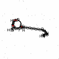 CO[C@H]1C[C@@H]2CC[C@@H](C)[C@@](O)(O2)C(=O)COCN2CCCC[C@H]2C(=O)O[C@H]([C@H](N)C[C@@H]2CC[C@@H](O)[C@H](OC)C2)C[C@@H](O)[C@H](C)/C=C(\C)[C@@H](O)[C@@H](O)/C(=N/OCC(=O)NCCOCCOCCOCCOCCOCCOCCOCCOCCC(=O)N2CCc3cc(Cn4nc(-c5cnc6[nH]ccc6c5)c5c(N)ncnc54)ccc3C2)[C@H](C)C[C@H](C)/C=C/C=C/C=C/1C